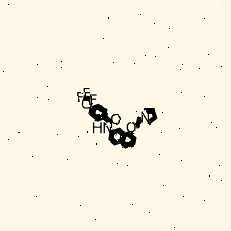 O=C(N[C@@H]1CCc2cccc(OCCN3CCCC3)c2C1)c1ccc(OC(F)(F)F)cc1